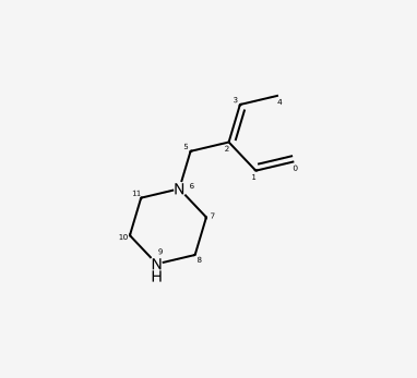 C=C/C(=C\C)CN1CCNCC1